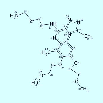 COCCOc1cc2c(nc(NCCCCN)c3nnc(C)n32)c(C)c1OCCOC